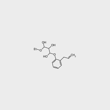 C=CCc1ccccc1OC(O)C(O)C(O)OCC